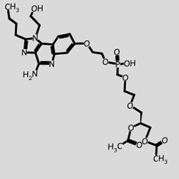 CCCCc1nc2c(N)nc3cc(OCCOP(=O)(O)COCCOC[C@@H](COC(C)=O)OC(C)=O)ccc3c2n1CCO